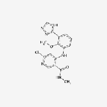 CNC(=O)c1cnc(Cl)cc1Nc1cccc(-c2nnc[nH]2)c1OC